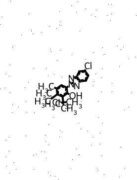 Cc1cc(-n2nc3ccc(Cl)cc3n2)c(O)c(C(C)(C)C)c1C(C)(C)C